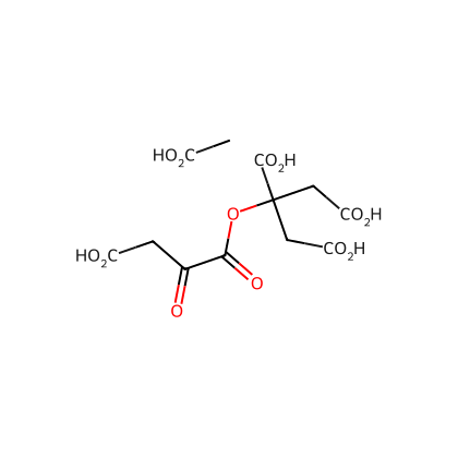 CC(=O)O.O=C(O)CC(=O)C(=O)OC(CC(=O)O)(CC(=O)O)C(=O)O